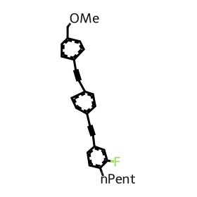 CCCCCc1ccc(C#Cc2ccc(C#Cc3ccc(COC)cc3)cc2)cc1F